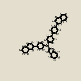 c1ccc2cc(-c3ccc(-c4ccc(N(c5ccc(-c6ccc7ccccc7c6)cc5)c5cc6ccccc6s5)cc4)cc3)ccc2c1